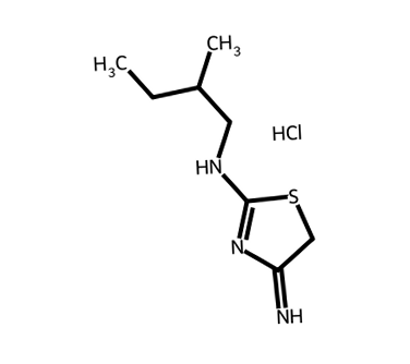 CCC(C)CNC1=NC(=N)CS1.Cl